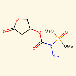 COP(=O)(OC)N(N)C(=O)OC1COC(=O)C1